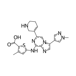 Cc1cc(Nc2nc(C3=CCCNC3)cn3c(-c4cnn(C)c4)cnc23)sc1C(=O)O